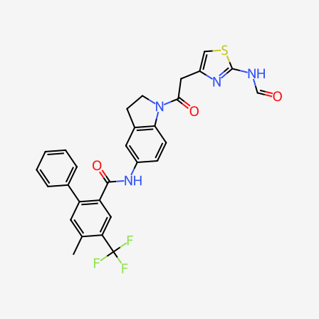 Cc1cc(-c2ccccc2)c(C(=O)Nc2ccc3c(c2)CCN3C(=O)Cc2csc(NC=O)n2)cc1C(F)(F)F